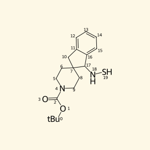 CC(C)(C)OC(=O)N1CCC2(CC1)Cc1ccccc1C2NS